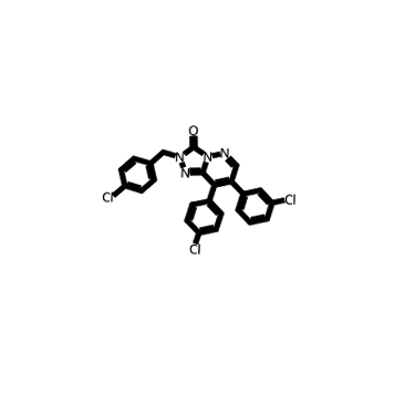 O=c1n(Cc2ccc(Cl)cc2)nc2c(-c3ccc(Cl)cc3)c(-c3cccc(Cl)c3)cnn12